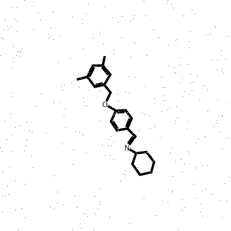 Cc1cc(C)cc(COc2ccc(C=NC3CCCCC3)cc2)c1